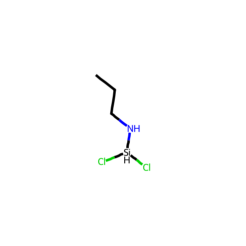 CCCN[SiH](Cl)Cl